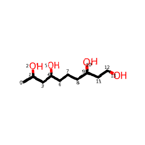 CC(O)CC(O)CCCC(O)CCO